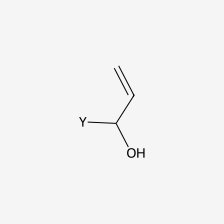 C=C[CH](O)[Y]